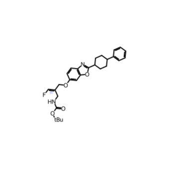 CC(C)(C)OC(=O)NC/C(=C\F)COc1ccc2nc(C3CCC(c4ccccc4)CC3)oc2c1